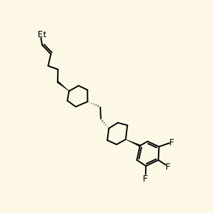 CC/C=C/CCC[C@H]1CC[C@H](CC[C@H]2CC[C@H](c3cc(F)c(F)c(F)c3)CC2)CC1